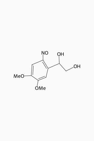 COc1cc(N=O)c(C(O)CO)cc1OC